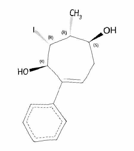 C[C@H]1[C@@H](I)[C@H](O)C(c2ccccc2)=CC[C@@H]1O